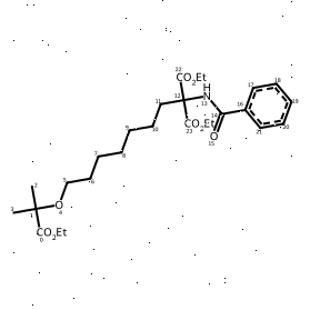 CCOC(=O)C(C)(C)OCCCCCCCC(NC(=O)c1ccccc1)(C(=O)OCC)C(=O)OCC